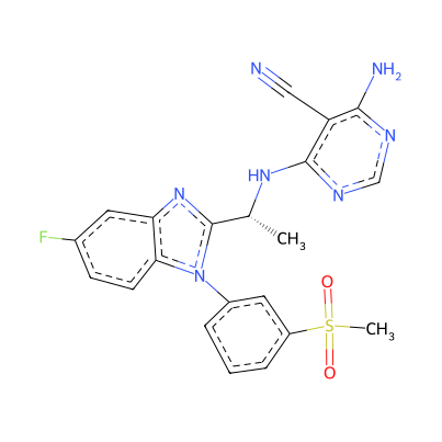 C[C@@H](Nc1ncnc(N)c1C#N)c1nc2cc(F)ccc2n1-c1cccc(S(C)(=O)=O)c1